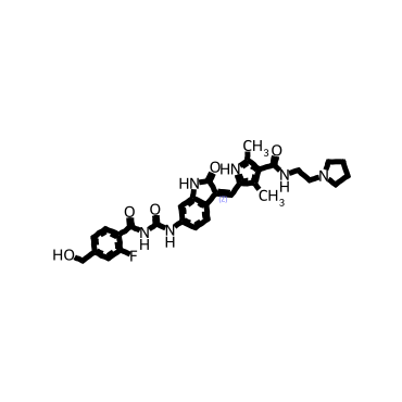 Cc1[nH]c(/C=C2\C(=O)Nc3cc(NC(=O)NC(=O)c4ccc(CO)cc4F)ccc32)c(C)c1C(=O)NCCN1CCCC1